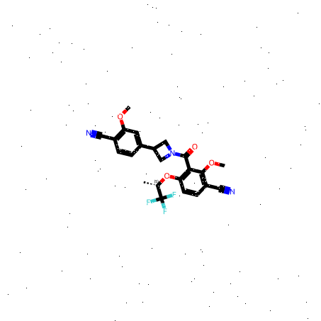 COc1cc(C2CN(C(=O)c3c(O[C@@H](C)C(F)(F)F)ccc(C#N)c3OC)C2)ccc1C#N